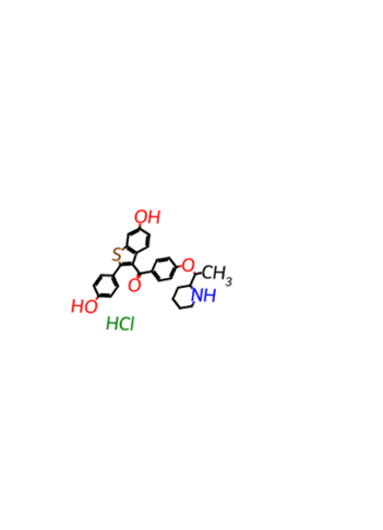 CC(Oc1ccc(C(=O)c2c(-c3ccc(O)cc3)sc3cc(O)ccc23)cc1)C1CCCCN1.Cl